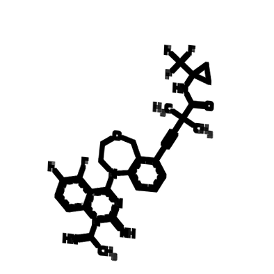 CC(=N)n1c(=N)nc(N2CCOCc3c(C#CC(C)(C)C(=O)NC4(C(F)(F)F)CC4)cccc32)c2c(F)c(F)ccc21